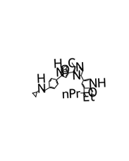 CCCC(CC)c1cc(-c2cnc(C)c(-c3cc(-c4ccc(CNC5CC5)cc4)no3)n2)c[nH]c1=O